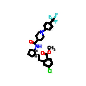 COC(=O)c1ccc(Cl)cc1CC[C@@H]1CCC[C@H]1NC(=O)C1CCN(c2ccc(C(F)(F)F)cc2)CC1